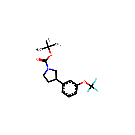 CC(C)(C)OC(=O)N1CCC(c2cccc(OC(F)(F)F)c2)C1